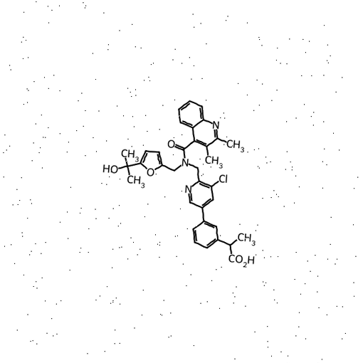 Cc1nc2ccccc2c(C(=O)N(Cc2ccc(C(C)(C)O)o2)Cc2ncc(-c3cccc(C(C)C(=O)O)c3)cc2Cl)c1C